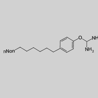 CCCCCCCCCCCCCCCc1ccc(OC(N)N)cc1